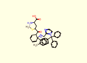 CSC(CC(N)C(=O)O)C(=O)C1C=CC=CC1(NCc1nccn1C(c1ccccc1)(c1ccccc1)c1ccccc1)c1ccccc1C